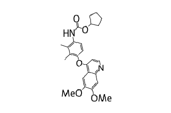 COc1cc2nccc(Oc3ccc(NC(=O)OC4CCCC4)c(C)c3C)c2cc1OC